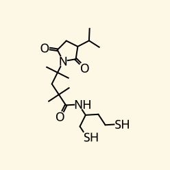 CC(C)C1CC(=O)N(C(C)(C)CC(C)(C)C(=O)NC(CS)CCS)C1=O